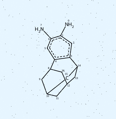 Nc1cc2c(cc1N)C1CC3CC(CC2C3)C1